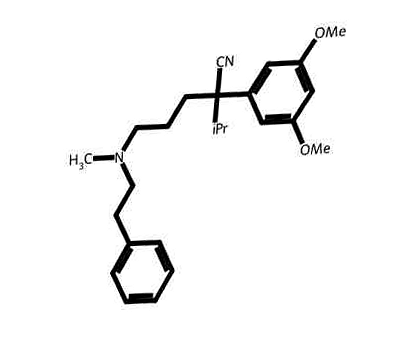 COc1cc(OC)cc(C(C#N)(CCCN(C)CCc2ccccc2)C(C)C)c1